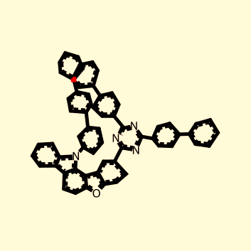 c1ccc(-c2ccc(-c3cccc(-n4c5ccccc5c5ccc6oc7ccc(-c8nc(-c9ccc(-c%10ccccc%10)cc9)nc(-c9ccc(-c%10ccccc%10)cc9)n8)cc7c6c54)c3)cc2)cc1